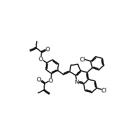 C=C(C)C(=O)Oc1ccc(/C=C2\CCc3c2nc2ccc(Cl)cc2c3-c2ccccc2Cl)c(OC(=O)C(=C)C)c1